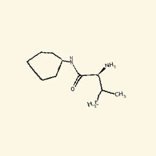 CC(C)[C@H](N)C(=O)NC1CCCCC1